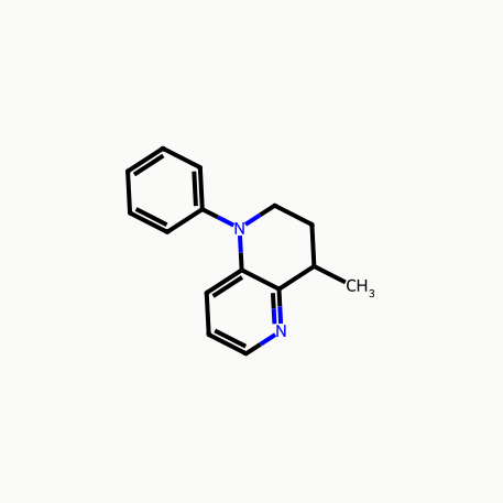 CC1CCN(c2ccccc2)c2cccnc21